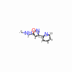 [CH2]NCc1cc(-c2ccccn2)no1